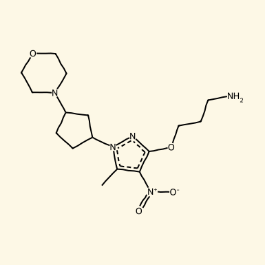 Cc1c([N+](=O)[O-])c(OCCCN)nn1C1CCC(N2CCOCC2)C1